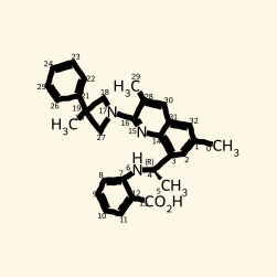 Cc1cc([C@@H](C)Nc2ccccc2C(=O)O)c2nc(N3CC(C)(c4ccccc4)C3)c(C)cc2c1